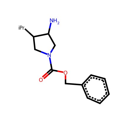 CC(C)C1CN(C(=O)OCc2ccccc2)CC1N